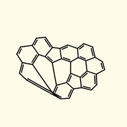 c1cc2ccc3c4cc5ccc6ccc7ccc8c9cc%10ccc1c1c2c3c2c4c3c5c6c7c8c3c9c2c%101